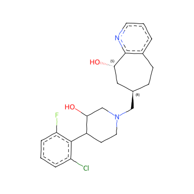 OC1CN(C[C@@H]2CCc3cccnc3[C@@H](O)C2)CCC1c1c(F)cccc1Cl